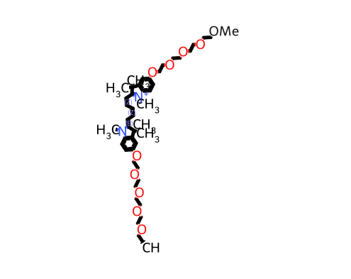 C#CCOCCOCCOCCOCCOc1ccc2c(c1)C(C)(C)\C(=C/C=C\C=C/C1=[N+](C)c3ccc(OCCOCCOCCOCCOC)cc3C1(C)C)N2C